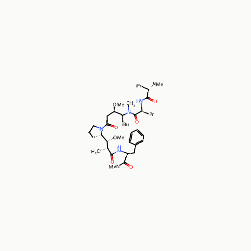 CCC(C)[C@@H]([C@@H](CC(=O)N1CCC[C@H]1[C@H](OC)[C@@H](C)C(=O)NC(Cc1ccccc1)C(=O)NC)OC)N(C)C(=O)[C@@H](NC(=O)[C@@H](NC)C(C)C)C(C)C